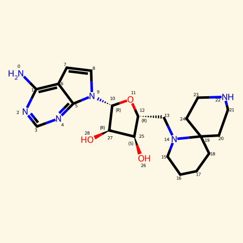 Nc1ncnc2c1ccn2[C@@H]1O[C@H](CN2CCCCC23CCNCC3)[C@@H](O)[C@H]1O